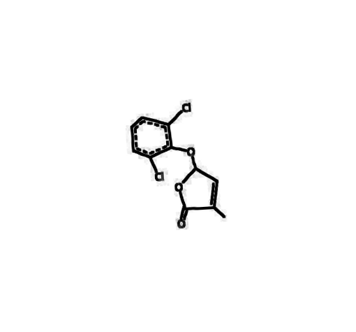 CC1=CC(Oc2c(Cl)cccc2Cl)OC1=O